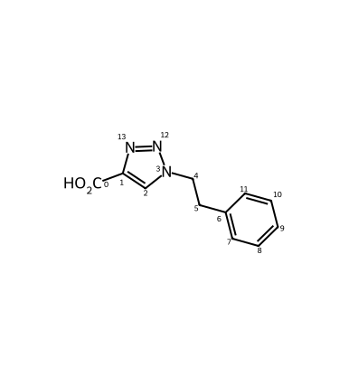 O=C(O)c1cn(CCc2ccccc2)nn1